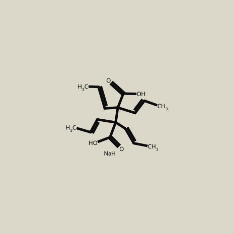 CC=CC(C=CC)(C(=O)O)C(C=CC)(C=CC)C(=O)O.[NaH]